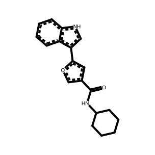 O=C(NC1CCCCC1)c1coc(-c2c[nH]c3ccccc23)c1